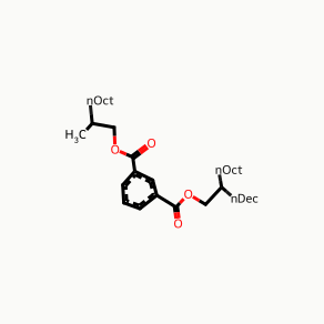 CCCCCCCCCCC(CCCCCCCC)COC(=O)c1cccc(C(=O)OCC(C)CCCCCCCC)c1